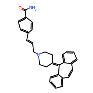 NC(=O)c1ccc(C=CCN2CCC(=C3c4ccccc4C=Cc4ccccc43)CC2)cc1